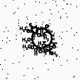 COc1c(F)cc2c(O)c1C[C@@H](C)C[C@H](OC)[C@H](O)[C@@H](C)/C=C(\C)[C@H](OC(N)=O)[C@@H](C=O)CC/C=C(\C)C(=O)N2